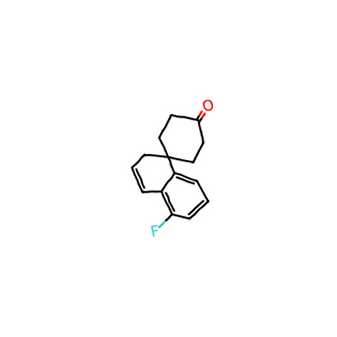 O=C1CCC2(CC=Cc3c(F)cccc32)CC1